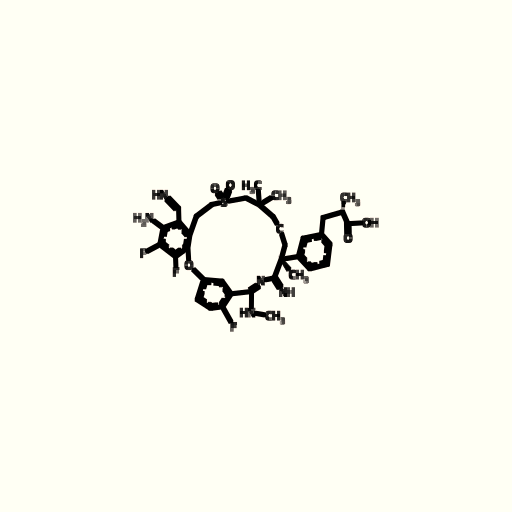 CN/C1=N\C(=N)[C@@](C)(c2cccc(C[C@H](C)C(=O)O)c2)CCCC(C)(C)CS(=O)(=O)CCc2c(C=N)c(N)c(F)c(F)c2Oc2ccc(F)c1c2